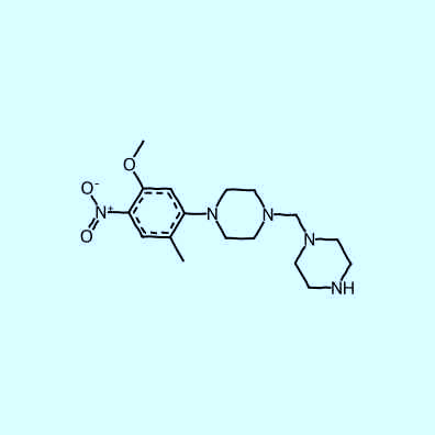 COc1cc(N2CCN(CN3CCNCC3)CC2)c(C)cc1[N+](=O)[O-]